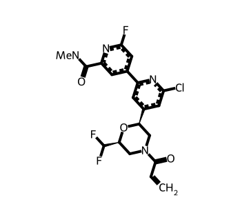 C=CC(=O)N1C[C@@H](C(F)F)O[C@@H](c2cc(Cl)nc(-c3cc(F)nc(C(=O)NC)c3)c2)C1